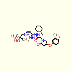 Cc1cccc(OC2=CC(=O)N([C@@H](CC3CCCCC3)C(=O)NC(=N)/C=C\NCC(C)(C)O)C2)c1